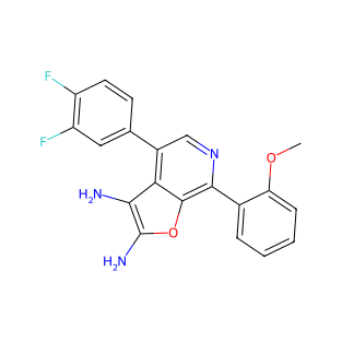 COc1ccccc1-c1ncc(-c2ccc(F)c(F)c2)c2c(N)c(N)oc12